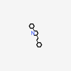 C(=C\c1ccc(-c2ccccc2)nc1)/c1ccccc1